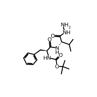 CC(C)[C@H](NC(=O)[C@H](Cc1ccccc1)NC(=O)OC(C)(C)C)C(=O)NN